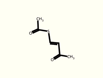 CC(=O)C=CSC(C)=O